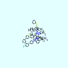 C=CC(C(CCc1cc2sc3ccc(-c4ccccc4)cc3c2cc1-c1n(-c2ccc(-c3ccc(F)cc3)cc2)c2ccccc2[n+]1C)C(=C)CC)[N+](=C)/C=C(\CC)[Si](C)(C)CCSc1ccccc1